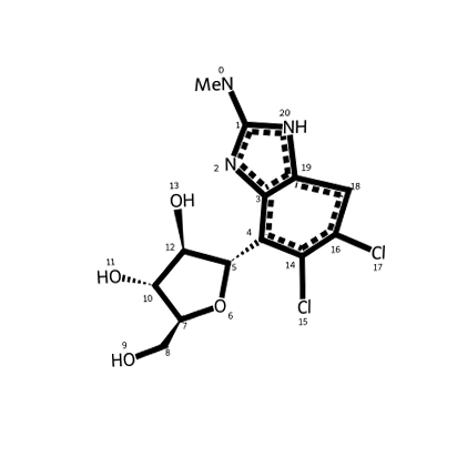 CNc1nc2c([C@@H]3O[C@@H](CO)[C@H](O)[C@H]3O)c(Cl)c(Cl)cc2[nH]1